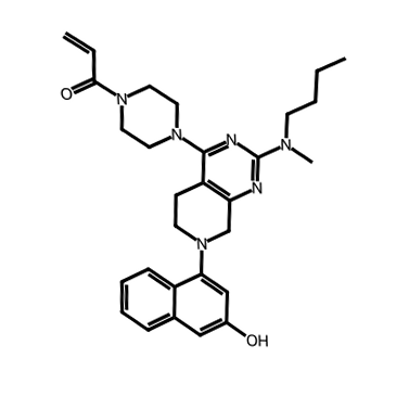 C=CC(=O)N1CCN(c2nc(N(C)CCCC)nc3c2CCN(c2cc(O)cc4ccccc24)C3)CC1